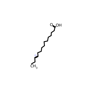 CCC/C=C/CCCCCCCCCCC(=O)O